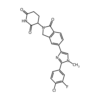 Cn1cc(-c2ccc3c(c2)CN(C2CCC(=O)NC2=O)C3=O)nc1-c1ccc(Cl)c(F)c1